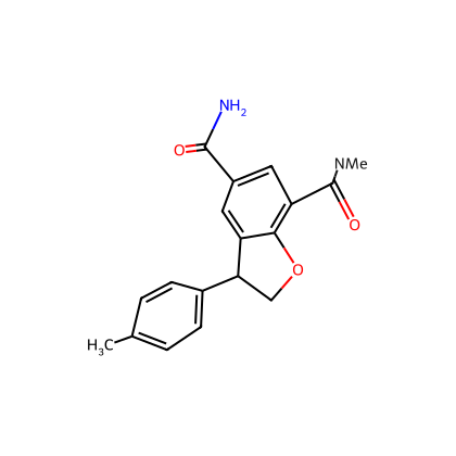 CNC(=O)c1cc(C(N)=O)cc2c1OCC2c1ccc(C)cc1